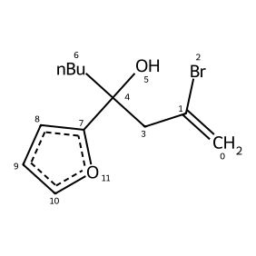 C=C(Br)CC(O)(CCCC)c1ccco1